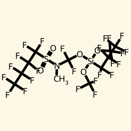 CN(C(F)(F)O[Si](OC(F)(F)F)(OC(F)(F)F)C(F)(F)C(F)(F)C(F)(F)F)S(=O)(=O)C(F)(F)C(F)(F)C(F)(F)C(F)(F)F